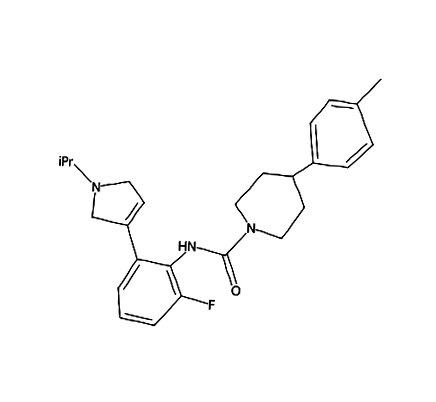 Cc1ccc(C2CCN(C(=O)Nc3c(F)cccc3C3=CCN(C(C)C)C3)CC2)cc1